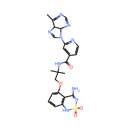 CC1=NC=NC2C1N=CN2c1cc(C(=O)NC(C)(C)COc2cccc3c2C(N)=NS(=O)(=O)N3)ccn1